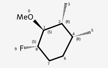 CO[C@H]1[C@H](C)[C@H](C)CC[C@@H]1F